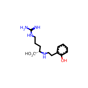 N=C(N)NCCC[C@H](NCCc1ccccc1O)C(=O)O